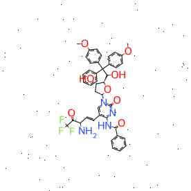 COc1ccc(C(c2ccccc2)(c2ccc(OC)cc2)C(O)[C@H]2O[C@@H](n3cc(C=CC(N)C(=O)C(F)(F)F)c(NC(=O)c4ccccc4)nc3=O)C[C@@H]2O)cc1